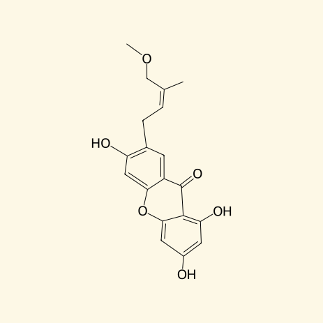 COCC(C)=CCc1cc2c(=O)c3c(O)cc(O)cc3oc2cc1O